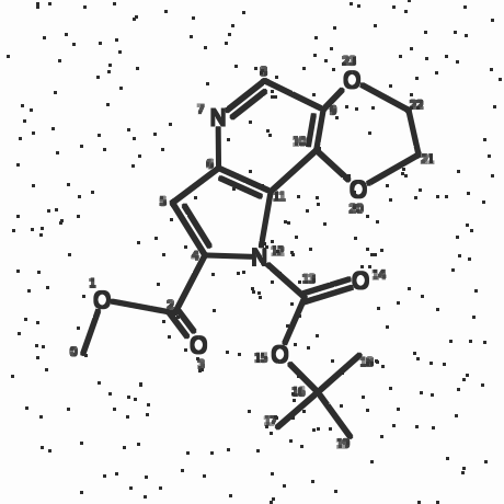 COC(=O)c1cc2ncc3c(c2n1C(=O)OC(C)(C)C)OCCO3